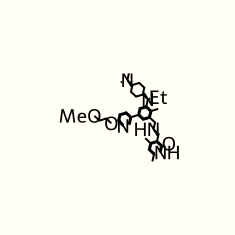 CCN(c1cc(-c2ccc(OCCOC)nc2)cc(CNCc2c(C)cc(C)[nH]c2=O)c1C)C1CCC(N(C)C)CC1